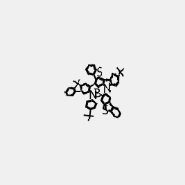 CC(C)(C)c1ccc(N2B3c4cc5sc6ccccc6c5cc4-n4c5ccc(C(C)(C)C)cc5c5c6sc7ccccc7c6c(c3c54)-c3cc4c(cc32)-c2ccccc2C4(C)C)cc1